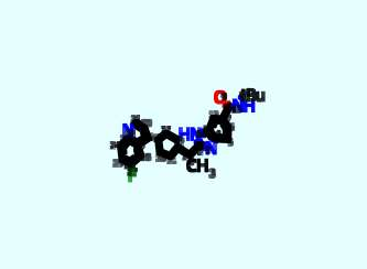 C[C@@H](c1nc2ccc(C(=O)NC(C)(C)C)cc2[nH]1)[C@H]1CC[C@@H](c2ccnc3ccc(F)cc32)CC1